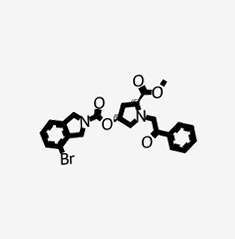 COC(=O)[C@@H]1C[C@@H](OC(=O)N2Cc3cccc(Br)c3C2)CN1CC(=O)c1ccccc1